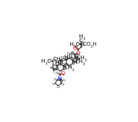 C=C(C)[C@@H]1CC[C@]2(CC(=O)N3CC4CCC3C4)CC[C@]3(C)[C@H](CC[C@@H]4[C@@]5(C)CC[C@H](OC(=O)CC(C)(C)C(=O)O)C(C)(C)[C@@H]5CC[C@]43C)[C@@H]12